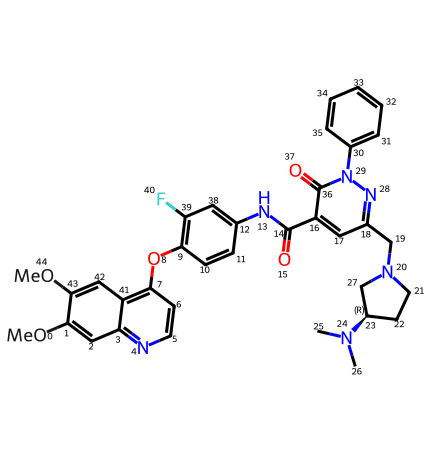 COc1cc2nccc(Oc3ccc(NC(=O)c4cc(CN5CC[C@@H](N(C)C)C5)nn(-c5ccccc5)c4=O)cc3F)c2cc1OC